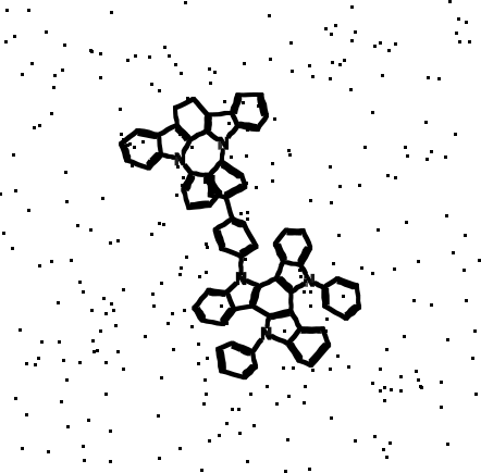 c1ccc(-n2c3c(c4ccccc42)CCc2c-3n(-c3ccc(-c4ccc(-n5c6ccccc6c6c7c(c8ccccc8n7-c7ccccc7)c7c(c8ccccc8n7-c7ccccc7)c65)cc4)cc3)c3ccccc23)cc1